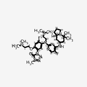 CN(C)CCOc1cc(F)c(N(CCN(C)C)c2ncc(F)c(N[C@@H]3C[C@H]4CCCN4C(C)(C)C3)n2)cc1-n1nnn(C)c1=O